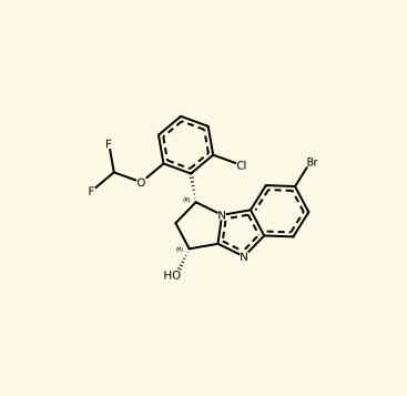 O[C@@H]1C[C@H](c2c(Cl)cccc2OC(F)F)n2c1nc1ccc(Br)cc12